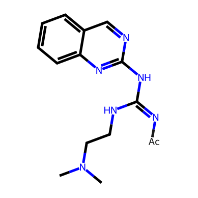 CC(=O)/N=C(\NCCN(C)C)Nc1ncc2ccccc2n1